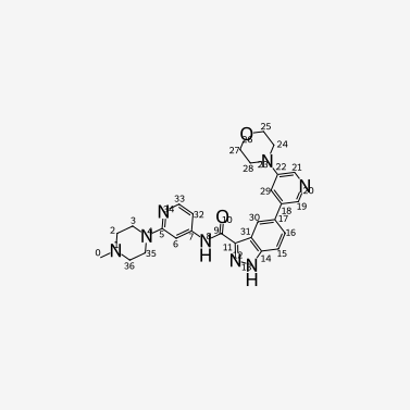 CN1CCN(c2cc(NC(=O)c3n[nH]c4ccc(-c5cncc(N6CCOCC6)c5)cc34)ccn2)CC1